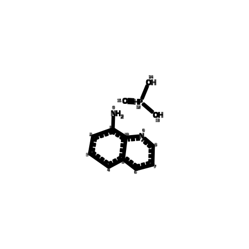 Nc1cccc2cccnc12.O=[PH](O)O